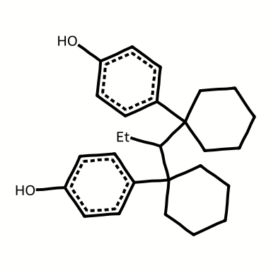 CCC(C1(c2ccc(O)cc2)CCCCC1)C1(c2ccc(O)cc2)CCCCC1